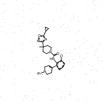 CC(C)N1CC=C(c2cccc(Cl)c2NC(=O)N2CCC(C)(c3noc(C4CC4)n3)CC2)CC1